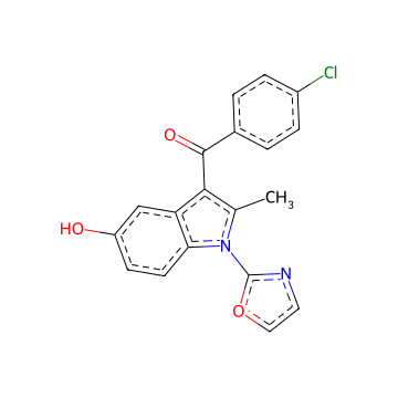 Cc1c(C(=O)c2ccc(Cl)cc2)c2cc(O)ccc2n1-c1ncco1